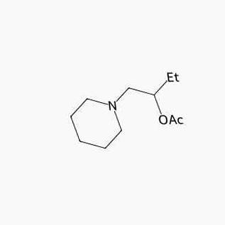 CCC(CN1CCCCC1)OC(C)=O